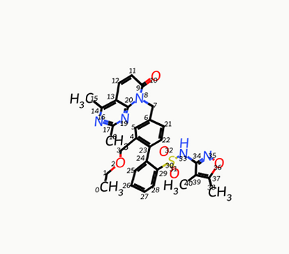 CCOCc1cc(Cn2c(=O)ccc3c(C)nc(C)nc32)ccc1-c1ccccc1S(=O)(=O)Nc1noc(C)c1C